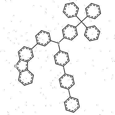 c1ccc(-c2ccc(-c3ccc(N(c4ccc(C(c5ccccc5)(c5ccccc5)c5ccccc5)cc4)c4cccc(-c5ccc6oc7ccccc7c6c5)c4)cc3)cc2)cc1